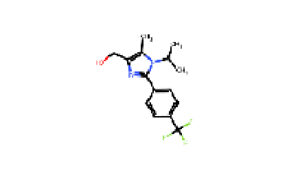 Cc1c(CO)nc(-c2ccc(C(F)(F)F)cc2)n1C(C)C